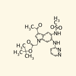 CC(=O)c1cn(CC(=O)OC(C)(C)C)c2cc(Nc3cccnn3)c(NS(C)(=O)=O)cc12